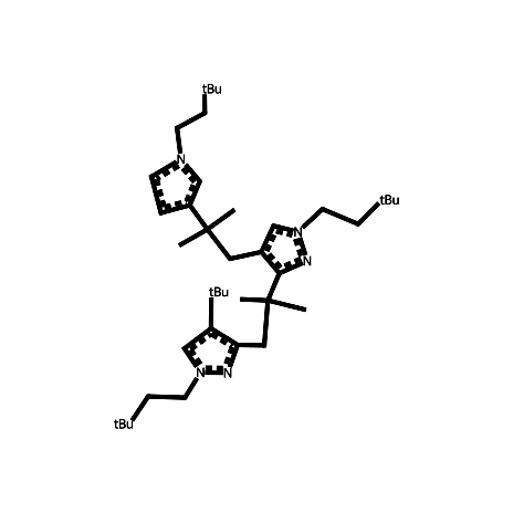 CC(C)(C)CCn1ccc(C(C)(C)Cc2cn(CCC(C)(C)C)nc2C(C)(C)Cc2nn(CCC(C)(C)C)cc2C(C)(C)C)c1